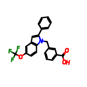 O=C(O)c1cccc(Cn2c(-c3ccccc3)cc3cc(OC(F)(F)F)ccc32)c1